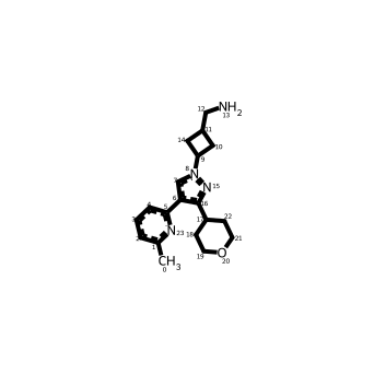 Cc1cccc(-c2cn(C3CC(CN)C3)nc2C2CCOCC2)n1